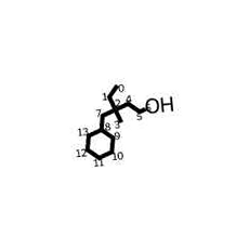 CCC(C)(CCO)CC1CCCCC1